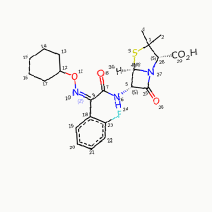 CC1(C)S[C@@H]2[C@@H](NC(=O)/C(=N\OC3CCCCC3)c3ccccc3F)C(=O)N2[C@H]1C(=O)O